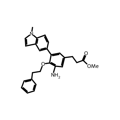 COC(=O)CCc1cc(N)c(OCCc2ccccc2)c(-c2ccc3c(ccn3C)c2)c1